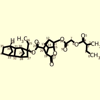 CCC(C)C(=O)OCC(=O)OC1C2CC3C1OC(=O)C3C2C(=O)OC1(CC)CC2CC1C1C2C2CC[C@H]1C2